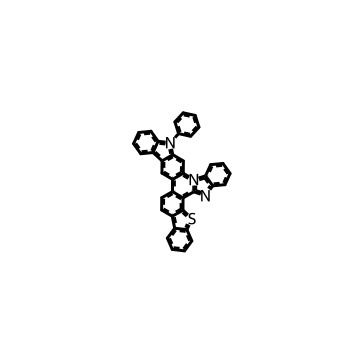 c1ccc(-n2c3ccccc3c3cc4c5ccc6c7ccccc7sc6c5c5nc6ccccc6n5c4cc32)cc1